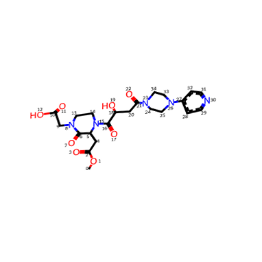 COC(=O)CC1C(=O)N(CC(=O)O)CCN1C(=O)C(O)CC(=O)N1CCN(c2ccncc2)CC1